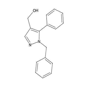 OCc1cnn(Cc2ccccc2)c1-c1ccccc1